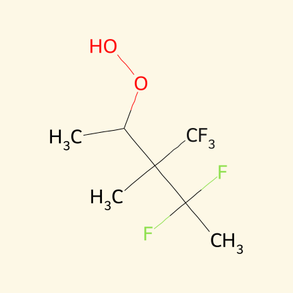 CC(OO)C(C)(C(C)(F)F)C(F)(F)F